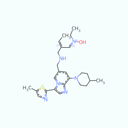 C/C=C(\C=[N+](\O)CC)CNCc1cc(N2CCC(C)CC2)c2ncc(-c3ncc(C)s3)n2c1